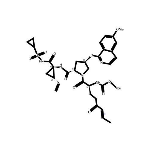 C=C[C@@H]1C[C@]1(NC(=O)[C@@H]1C[C@@H](Oc2nccc3cc(OC)ccc23)CN1C(=O)[C@H](CCC(=O)/C=C/C)NC(=O)OC(C)(C)C)C(=O)NS(=O)(=O)C1CC1